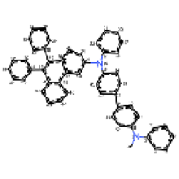 CN(c1ccccc1)c1ccc(-c2ccc(N(c3ccccc3)c3ccc4c(-c5ccccc5)c(-c5ccccc5)c5ccccc5c4c3)cc2)cc1